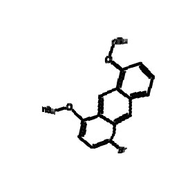 CCCCOc1cccc2cc3c(Br)ccc(OCCCC)c3cc12